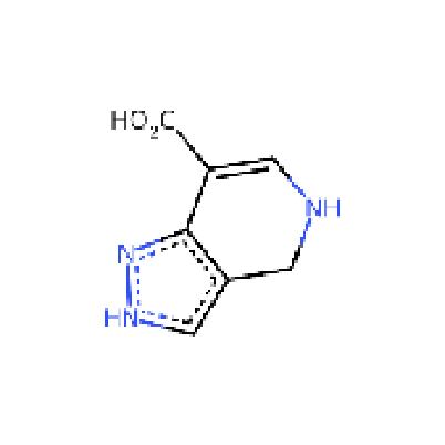 O=C(O)C1=CNCc2c[nH]nc21